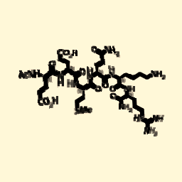 CSCC[C@H](NC(=O)[C@H](CCC(=O)O)NC(=O)[C@H](CCC(=O)O)NC(C)=O)C(=O)N[C@@H](CCC(N)=O)C(=O)N[C@@H](CCCCN)C(=O)N[C@@H](CCCNC(=N)N)C(N)=O